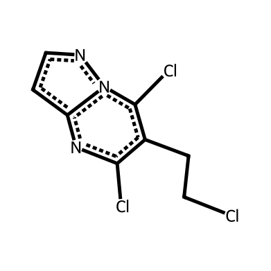 ClCCc1c(Cl)nc2ccnn2c1Cl